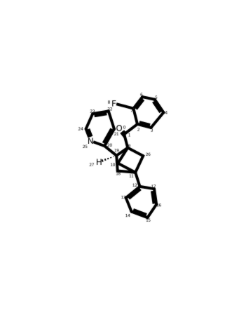 O=C(c1ccccc1F)C12CC(c3ccccc3)(C[C@H]1c1ccccn1)C2